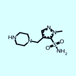 Cn1ncc(CN2CCNCC2)c1S(N)(=O)=O